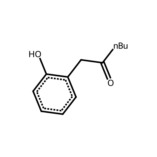 CCCCC(=O)Cc1ccccc1O